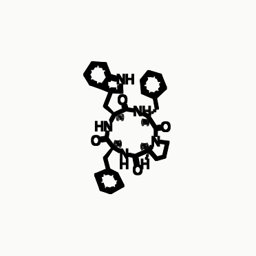 O=C1N[C@H](Cc2ccccc2)C(=O)N2CCC[C@H]2C(=O)N[C@@H](Cc2ccccc2)C(=O)N[C@H]1Cc1c[nH]c2ccccc12